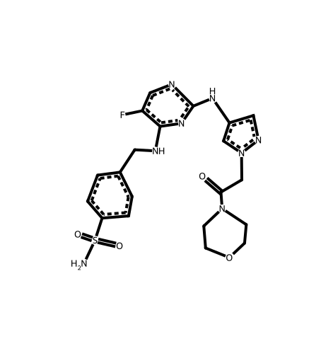 NS(=O)(=O)c1ccc(CNc2nc(Nc3cnn(CC(=O)N4CCOCC4)c3)ncc2F)cc1